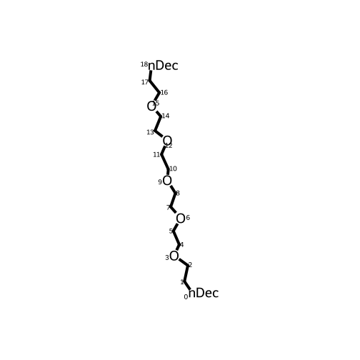 CCCCCCCCCCCCOCCOCCOCCOCCOCCCCCCCCCCCC